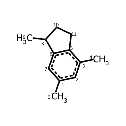 Cc1cc(C)c2c(c1)C(C)CC2